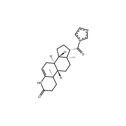 C[C@]12CC[C@H]3[C@@H](CC=C4NC(=O)CC[C@@]43C)[C@@H]1CC[C@@H]2C(=O)n1ccnc1